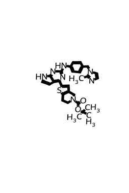 Cc1nccn1Cc1ccc(Nc2nc(-c3cc4c(s3)CCN(C(=O)OC(C)(C)C)C4)c3cc[nH]c3n2)cc1